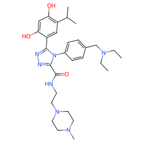 CCN(CC)Cc1ccc(-n2c(C(=O)NCCN3CCN(C)CC3)nnc2-c2cc(C(C)C)c(O)cc2O)cc1